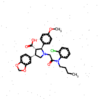 CCCCN(C(=O)CN1C[C@H](c2ccc3c(c2)OCO3)[C@H](C(=O)O)[C@H]1c1ccc(OC)cc1)c1ccccc1Cl